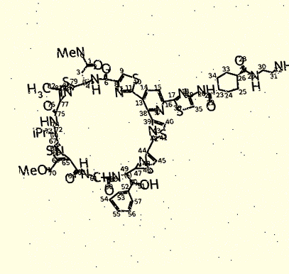 CNC(=O)C[C@@H]1NC(=O)c2csc(n2)-c2ccc(-c3nc(NC(=O)[C@H]4CC[C@H](C(=O)NCCN)CC4)cs3)nc2-c2csc(n2)-c2csc(n2)[C@H]([C@@H](O)c2ccccc2)NC(=O)CNC(=O)c2nc(sc2COC)[C@@H](C(C)C)NC(=O)c2nc1sc2C